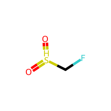 O=[SH](=O)CF